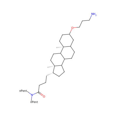 CCCCCN(CCCCC)C(=O)CCC[C@H]1CCC2C3CCC4CC(OCCCN)CC[C@]4(C)C3CC[C@@]21C